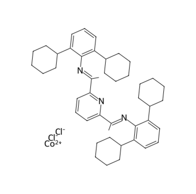 CC(=Nc1c(C2CCCCC2)cccc1C1CCCCC1)c1cccc(C(C)=Nc2c(C3CCCCC3)cccc2C2CCCCC2)n1.[Cl-].[Cl-].[Co+2]